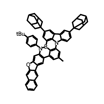 Cc1cc2c3c(c1)-n1c4ccc(C56CC7CC(CC(C7)C5)C6)cc4c4cc(C56CC7CC(CC(C7)C5)C6)cc(c41)B3N(c1ccc(C(C)(C)C)cc1)c1cc3oc4cc5ccccc5cc4c3cc1-2